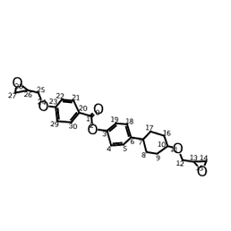 O=C(Oc1ccc(C2CCC(OCC3CO3)CC2)cc1)c1ccc(OCC2CO2)cc1